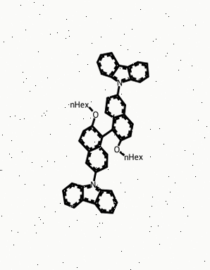 CCCCCCOc1ccc2cc(-n3c4ccccc4c4ccccc43)ccc2c1-c1c(OCCCCCC)ccc2cc(-n3c4ccccc4c4ccccc43)ccc12